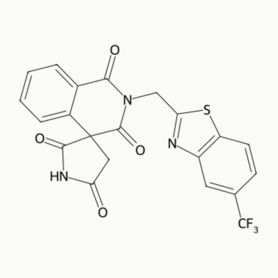 O=C1CC2(C(=O)N1)C(=O)N(Cc1nc3cc(C(F)(F)F)ccc3s1)C(=O)c1ccccc12